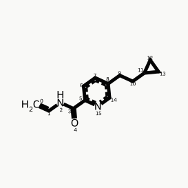 C=CNC(=O)c1ccc(CCC2CC2)cn1